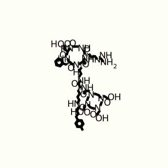 Cc1ccc(CCCC(=O)NCCCC[C@H](NC(=O)CN2CCN(CC(=O)O)CCN(CC(=O)O)CCN(CC(=O)O)CC2)C(=O)NCCCC[C@@H]2NC(=O)[C@@H](Cc3ccccc3)NC(=O)C(CC(=O)O)NC(=O)CNC(=O)[C@H](CCCNC(=N)N)NC2=O)cc1